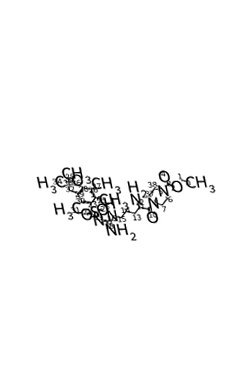 CCOC(=O)N1CCN(C(=O)C(N)CCCNC(N)=NS(=O)(=O)c2c(C)c(C)c3c(c2C)CC(C)(C)O3)CC1